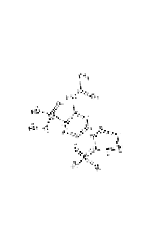 CC(=O)Nc1ccccc1[As](=O)(O)OO.O=S(=O)(O)c1cccnc1